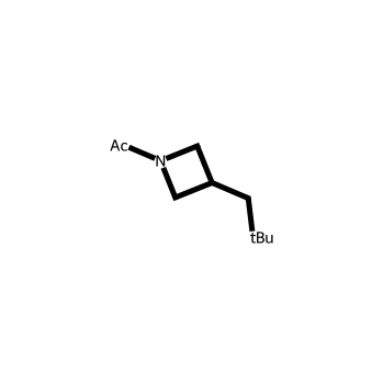 CC(=O)N1CC(CC(C)(C)C)C1